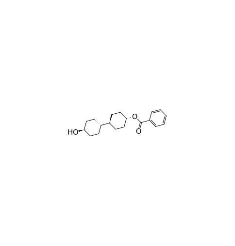 O=C(O[C@H]1CC[C@H]([C@H]2CC[C@H](O)CC2)CC1)c1ccccc1